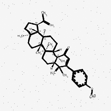 C=C(C)[C@@H]1CC[C@]2(C)CC[C@]3(C)[C@H](CC[C@@H]4[C@@]5(C)C(=O)C=C(c6ccc(OC=O)cc6)C(C)(C)[C@@H]5CC[C@]43C)[C@@H]12